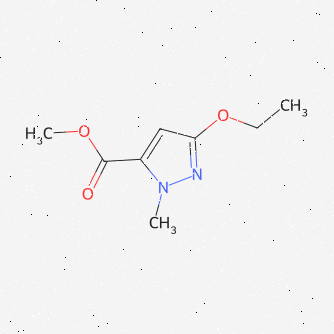 CCOc1cc(C(=O)OC)n(C)n1